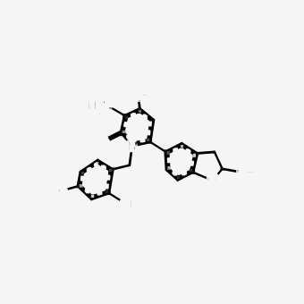 Cc1ccc(Cn2c(-c3ccc4c(c3)CC(C)O4)cc(C(F)(F)F)c(N)c2=O)c(C)c1